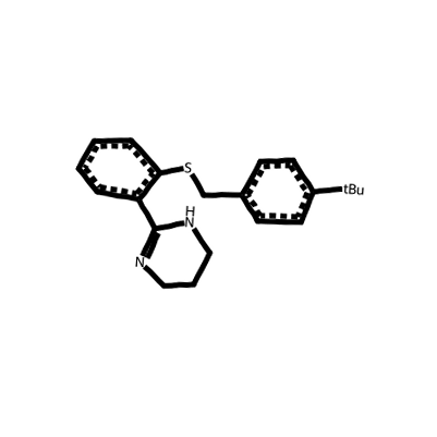 CC(C)(C)c1ccc(CSc2ccccc2C2=NCCCN2)cc1